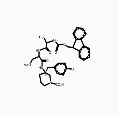 COCC(NC(=O)C(C)NC(=O)OCC1c2ccccc2-c2ccccc21)C(=O)N[C@@]1(Cc2ccc(Cl)cc2)CCCN(C(=O)O)C1